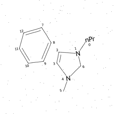 CCCN1C=CN(C)C1.c1ccccc1